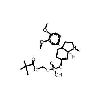 COc1ccc([C@@]23CCC(OP(=O)(O)OCOC(=O)C(C)(C)C)=C[C@@H]2N(C)CC3)cc1OC